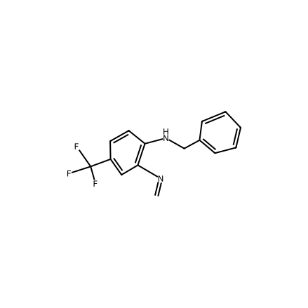 C=Nc1cc(C(F)(F)F)ccc1NCc1ccccc1